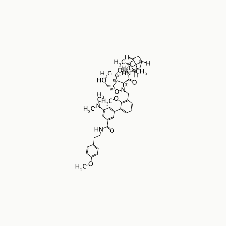 COc1ccc(CCNC(=O)c2cc(-c3cccc(CN4O[C@@H](CO)[C@@H]([C@H](C)O)[C@H]4C(=O)N[C@H]4C[C@H]5C[C@@H]([C@@H]4C)C5(C)C)c3OC)cc(N(C)C)c2)cc1